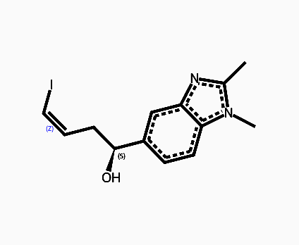 Cc1nc2cc([C@@H](O)C/C=C\I)ccc2n1C